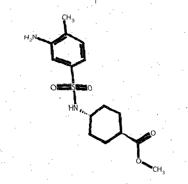 COC(=O)[C@H]1CC[C@H](NS(=O)(=O)c2ccc(C)c(N)c2)CC1